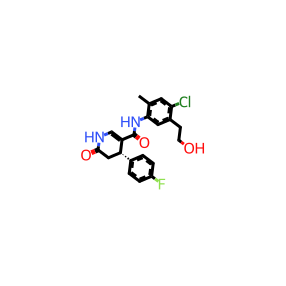 Cc1cc(Cl)c(CCO)cc1NC(=O)C1=CNC(=O)C[C@H]1c1ccc(F)cc1